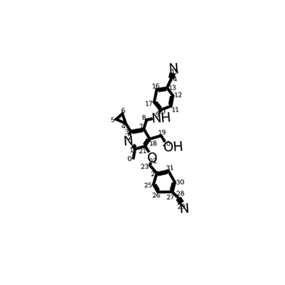 Cc1nc(C2CC2)c(CNc2ccc(C#N)cc2)c(CO)c1OCc1ccc(C#N)cc1